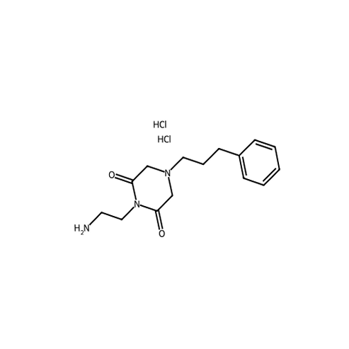 Cl.Cl.NCCN1C(=O)CN(CCCc2ccccc2)CC1=O